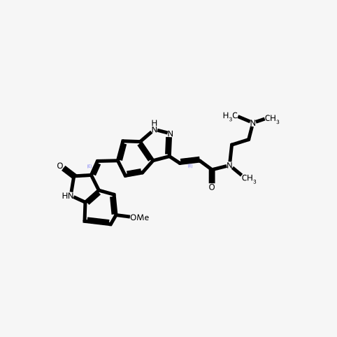 COc1ccc2c(c1)/C(=C\c1ccc3c(/C=C/C(=O)N(C)CCN(C)C)n[nH]c3c1)C(=O)N2